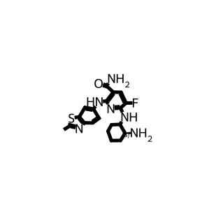 Cc1nc2ccc(Nc3nc(NC4CCCC[C@@H]4N)c(F)cc3C(N)=O)cc2s1